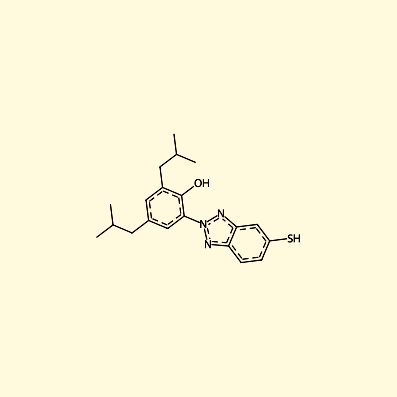 CC(C)Cc1cc(CC(C)C)c(O)c(-n2nc3ccc(S)cc3n2)c1